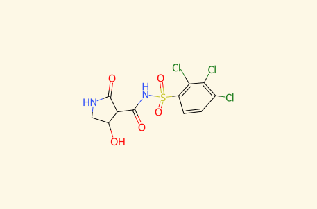 O=C1NCC(O)C1C(=O)NS(=O)(=O)c1ccc(Cl)c(Cl)c1Cl